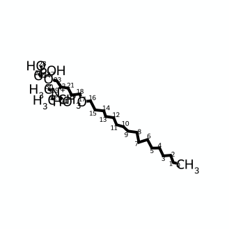 CCCCCCCCCCCCCCCCCOCC(O)CC(COP(=O)(O)O)[N+](C)(C)C